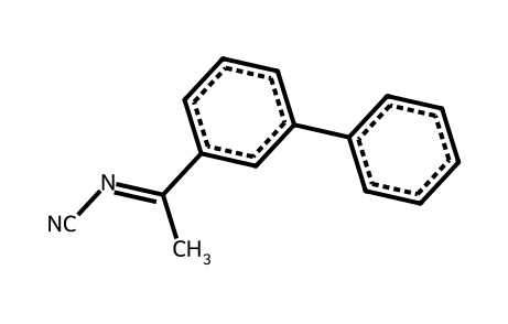 C/C(=N\C#N)c1cccc(-c2ccccc2)c1